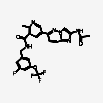 CC(=O)Nc1cn2nc(-c3cnc(C)c(C(=O)NCc4cc(F)cc(OC(F)(F)F)c4)c3)ccc2n1